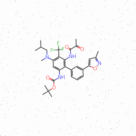 CC(=O)C(=O)Nc1c(-c2cccc(-c3cc(C)no3)c2)c(NC(=O)OC(C)(C)C)cc(N(C)CC(C)C)c1C(F)(F)F